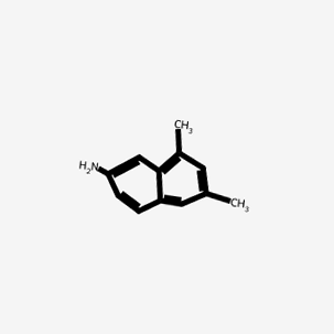 Cc1cc(C)c2cc(N)ccc2c1